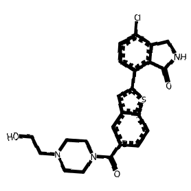 O=C1NCc2c(Cl)ccc(-c3cc4cc(C(=O)N5CCN(CCO)CC5)ccc4s3)c21